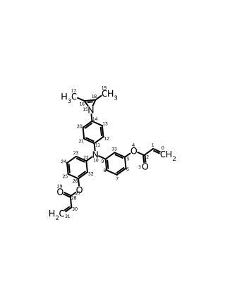 C=CC(=O)Oc1cccc(N(c2ccc(N3C(C)=C3C)cc2)c2cccc(OC(=O)C=C)c2)c1